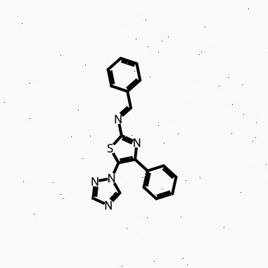 C(=Nc1nc(-c2ccccc2)c(-n2cncn2)s1)c1ccccc1